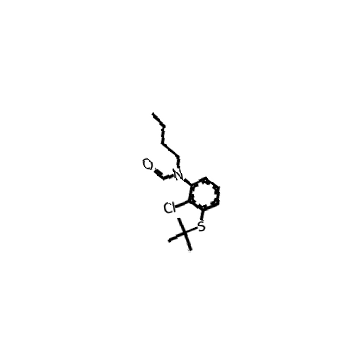 CCCCN(C=O)c1cccc(SC(C)(C)C)c1Cl